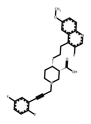 COc1ccc2ncc(F)c(CCC[C@H]3CCN(CC#Cc4cc(F)ccc4F)C[C@H]3C(=O)O)c2c1